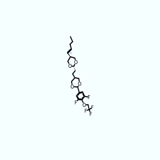 CCC/C=C/[C@H]1CO[C@H](CCC2COC(c3cc(F)c(OCC(F)(F)F)c(F)c3)OC2)OC1